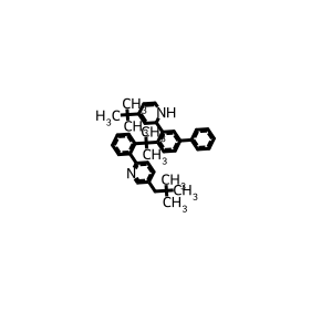 CC(C)(C)Cc1ccc(-c2ccccc2C(C)(C)c2ccc(-c3ccccc3)cc2C2C=C(C(C)(C)C)C=CN2)nc1